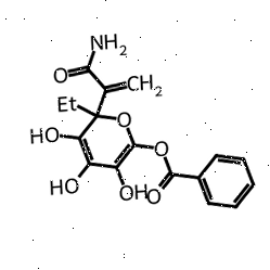 C=C(C(N)=O)C1(CC)OC(OC(=O)c2ccccc2)=C(O)C(O)=C1O